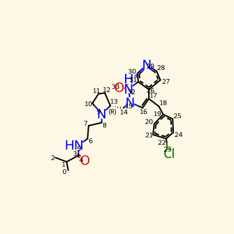 CC(C)C(=O)NCCCN1CCC[C@@H]1CN1C=C(Cc2ccc(Cl)cc2)c2ccncc2[NH+]1[O-]